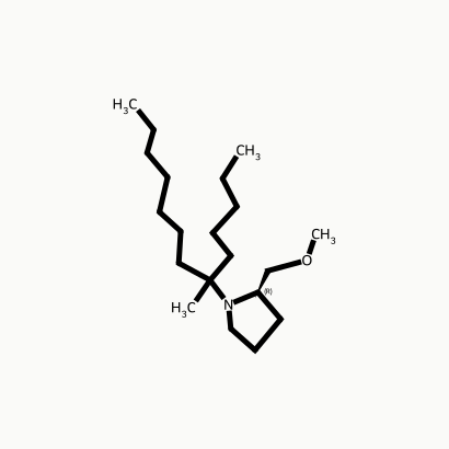 CCCCCCCC(C)(CCCCC)N1CCC[C@@H]1COC